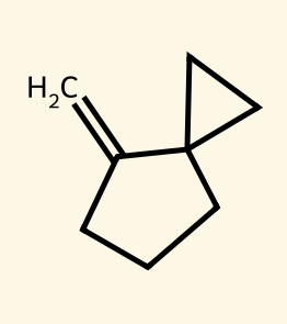 C=C1CCCC12CC2